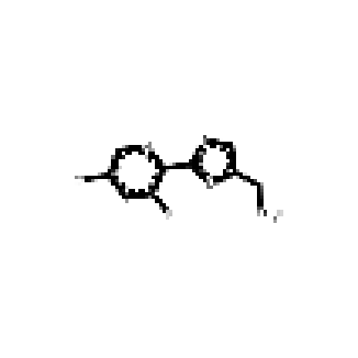 O=C(O)Cc1csc(-c2ncc(Cl)cc2F)n1